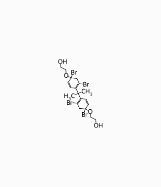 CC(C)(C1=C(Br)CC(Br)(OCCO)C=C1)C1=C(Br)CC(Br)(OCCO)C=C1